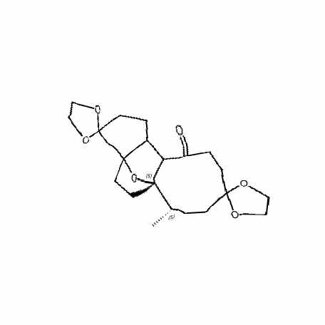 C[C@H]1CCC2(CCC(=O)C3C4CCC5(CC46CC[C@@]31O6)OCCO5)OCCO2